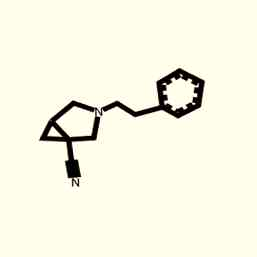 N#CC12CC1CN(CCc1ccccc1)C2